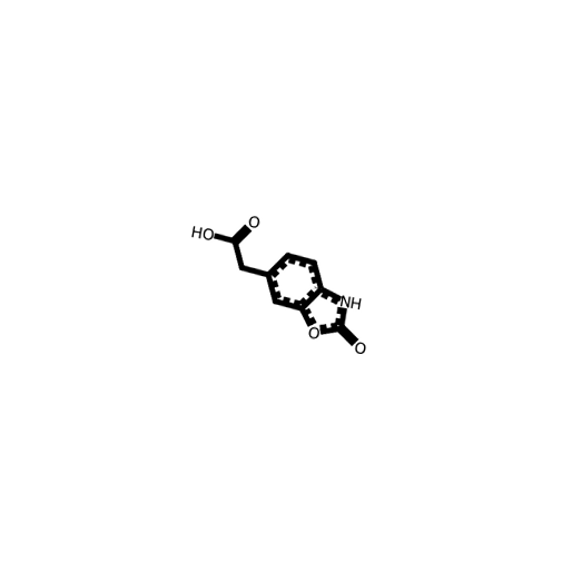 O=C(O)Cc1ccc2[nH]c(=O)oc2c1